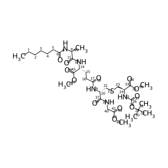 CCCCCCC(=O)N[C@@H](C)C(=O)N[C@H](CCC(=O)N[C@H](CSC[C@H](NC(=O)OC(C)(C)C)C(=O)OC)C(=O)NCC(=O)OC)C(=O)OC